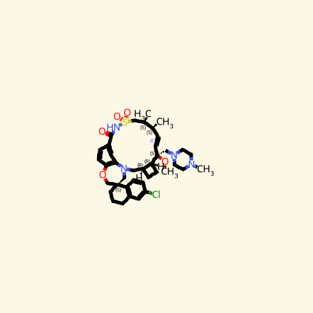 CO[C@]1(CN2CCN(C)CC2)/C=C/[C@H](C)[C@H](C)CS(=O)(=O)NC(=O)c2ccc3c(c2)N(C[C@@H]2CC[C@H]21)C[C@@]1(CCCc2cc(Cl)ccc21)CO3